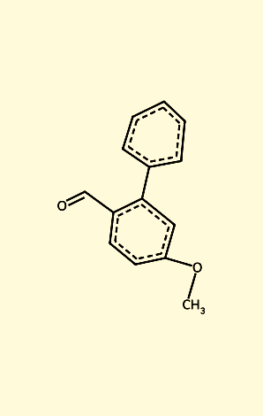 COc1ccc(C=O)c(-c2ccccc2)c1